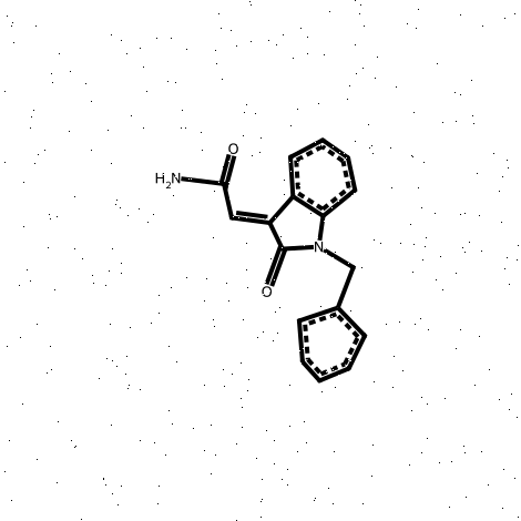 NC(=O)/C=C1/C(=O)N(Cc2ccccc2)c2ccccc21